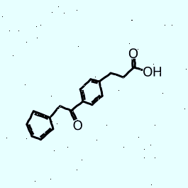 O=C(O)CCc1ccc(C(=O)Cc2ccccc2)cc1